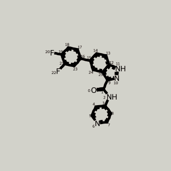 O=C(Nc1ccncc1)c1n[nH]c2ccc(-c3ccc(F)c(F)c3)cc12